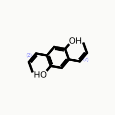 C/C=C\c1cc(O)c(/C=C\C)cc1O